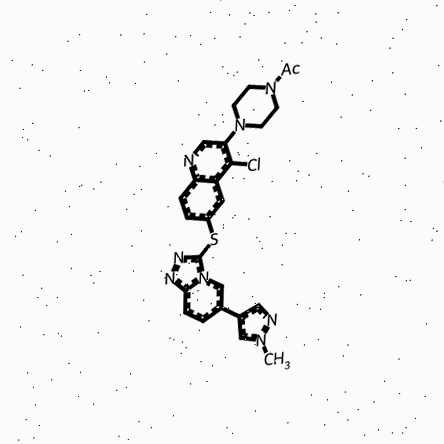 CC(=O)N1CCN(c2cnc3ccc(Sc4nnc5ccc(-c6cnn(C)c6)cn45)cc3c2Cl)CC1